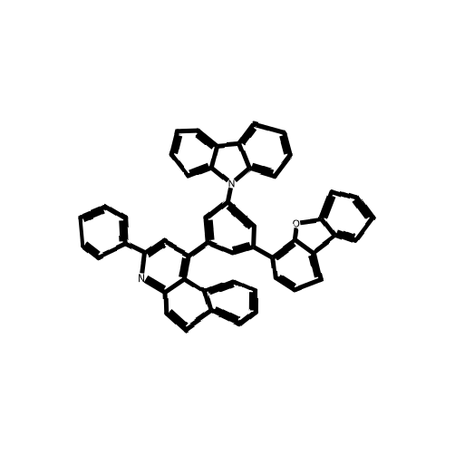 c1ccc(-c2cc(-c3cc(-c4cccc5c4oc4ccccc45)cc(-n4c5ccccc5c5ccccc54)c3)c3c(ccc4ccccc43)n2)cc1